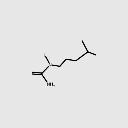 C=C(N)N(I)CCCC(C)C